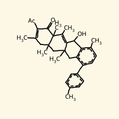 CC(=O)C1=C(C)CC2(C)CC3(C)Cc4c(-c5ccc(C)cc5)ccc(C)c4C(O)C3=C(C)C2(C)C1=O